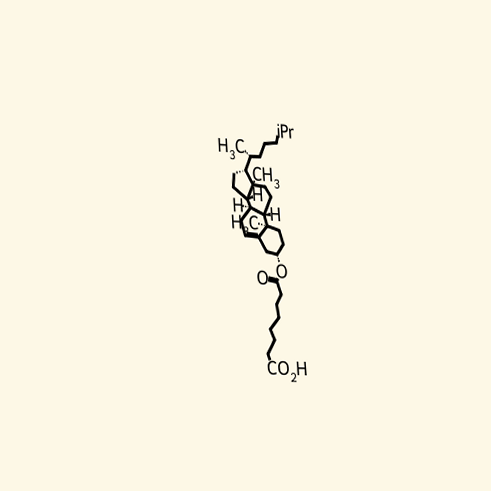 CC(C)CCC[C@@H](C)[C@H]1CC[C@H]2[C@@H]3CC=C4C[C@@H](OC(=O)CCCCCCC(=O)O)CC[C@]4(C)[C@H]3CC[C@]12C